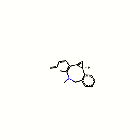 C=C/C=C\C1=C(/C)N(C)Cc2ccccc2[C@@H]2C=C12